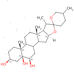 CC1CCC2(OC1)O[C@H]1CC3C4C[C@@H](O)[C@]5(O)C[C@@H](O)CC[C@]5(C)C4CC[C@]3(C)C1C2C